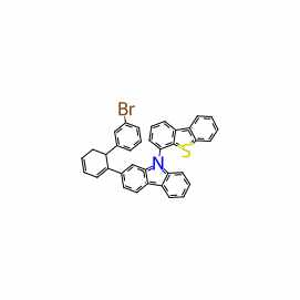 Brc1cccc(C2CC=CC=C2c2ccc3c4ccccc4n(-c4cccc5c4sc4ccccc45)c3c2)c1